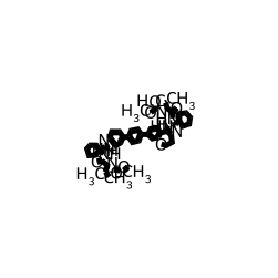 COC(=O)N[C@H](C(=O)NC1(c2nc3c([nH]2)-c2ccc(-c4ccc(-c5ccc6nc(C7(NC(=O)[C@@H](NC(=O)OC)C(C)C)CCCCC7)[nH]c6c5)cc4)cc2OCC3)CCCCC1)C(C)C